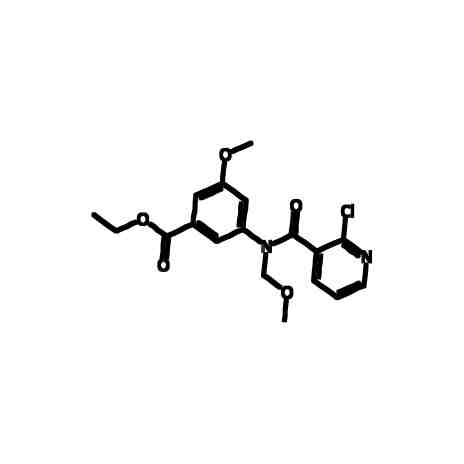 CCOC(=O)c1cc(OC)cc(N(COC)C(=O)c2cccnc2Cl)c1